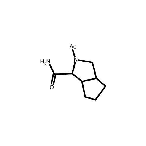 CC(=O)N1CC2C[CH]CC2C1C(N)=O